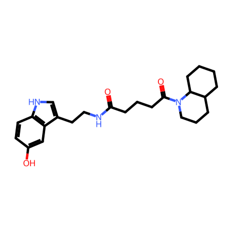 O=C(CCCC(=O)N1CCCC2CCCCC21)NCCc1c[nH]c2ccc(O)cc12